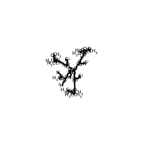 [2H]CCCOCC(COCCCOP(=O)(OCCC#N)OCC(COCCCOP(OCCCCCCO[C@@H]1OC(COC(C)=O)[C@H](C)[C@H](C)C1C)OCC[N+]#[C-])(COCCCOP(OCCCCCCO[C@@H]1OC(COC(C)=O)[C@H](C)[C@H](C)C1C)OCC[N+]#[C-])COCCCOP(OCCCCCCO[C@@H]1OC(COC(C)=O)[C@H](C)[C@H](C)C1NC(C)=O)OCC[N+]#[C-])COP(OC)OCCC#N